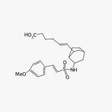 COc1ccc(C=CS(=O)(=O)NC2CC3CCC2C(C=CCCCC(=O)O)C3)cc1